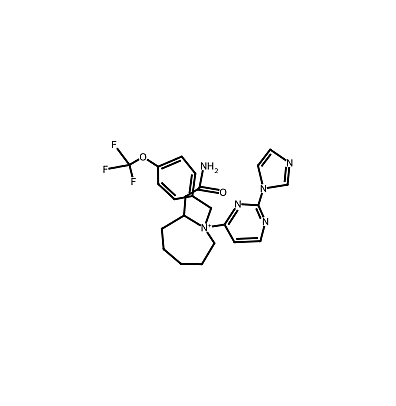 NC(=O)CC1CCCCC[N+]1(Cc1ccc(OC(F)(F)F)cc1)c1ccnc(-n2ccnc2)n1